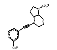 CCOC(=O)N1CCC2=C(C#Cc3cccc(OC)c3)CCCC21